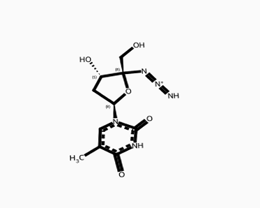 Cc1cn([C@H]2C[C@H](O)[C@](CO)(N=[N+]=N)O2)c(=O)[nH]c1=O